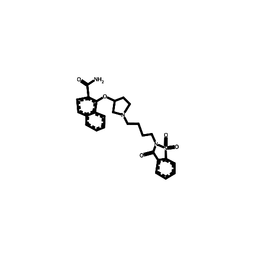 NC(=O)c1ccc2ccccc2c1OC1CCN(CCCCN2C(=O)c3ccccc3S2(=O)=O)C1